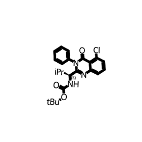 CC(C)[C@H](NC(=O)OC(C)(C)C)c1nc2cccc(Cl)c2c(=O)n1-c1ccccc1